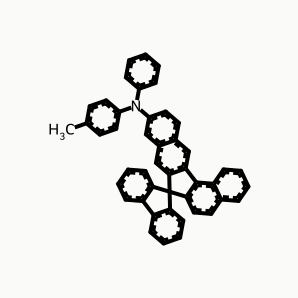 Cc1ccc(N(c2ccccc2)c2ccc3cc4c(cc3c2)C2(c3ccccc3-c3ccccc32)c2ccc3ccccc3c2-4)cc1